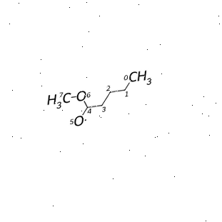 CCCCC([O])OC